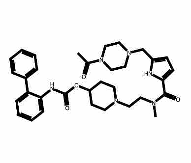 CC(=O)N1CCN(Cc2ccc(C(=O)N(C)CCN3CCC(OC(=O)Nc4ccccc4-c4ccccc4)CC3)[nH]2)CC1